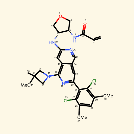 C=CC(=O)N[C@H]1COC[C@H]1Nc1cc2c(N3CC(C)(OC)C3)nc(-c3c(Cl)c(OC)cc(OC)c3Cl)cc2cn1